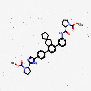 CC(C)(C)OC(=O)N1CCC[C@@H]1c1ncc(-c2ccc(-c3ccc(-c4cccc(NC(=O)[C@@H]5CCCN5C(=O)OC(C)(C)C)c4)c4c3CC3(CCCC3)C4)cc2)[nH]1